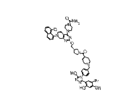 CC(C)c1cc(-c2nnc(O)n2-c2ccc(CN3CCC(C(=O)N4CC[C@@H](COc5nc6c(c(N7CCN(C(N)=O)CC7)n5)CCN(c5cccc7cccc(Cl)c57)C6)C4)CC3)cc2)c(O)cc1O